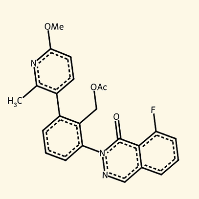 COc1ccc(-c2cccc(-n3ncc4cccc(F)c4c3=O)c2COC(C)=O)c(C)n1